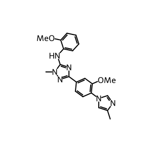 COc1ccccc1Nc1nc(-c2ccc(-n3cnc(C)c3)c(OC)c2)nn1C